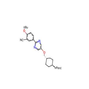 CCCCC[C@H]1CC[C@H](COc2cnc(-c3ccc(OCCCC)c(C#N)c3)nc2)CC1